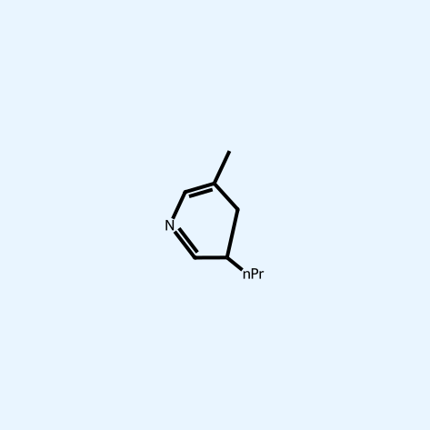 CCCC1C=NC=C(C)C1